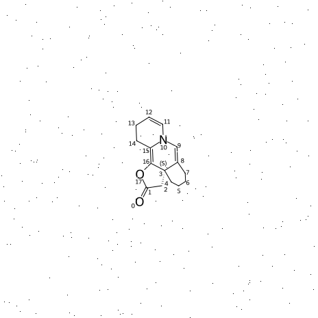 O=C1C[C@@]23CCCCC2=CN2C=CCCC2=C3O1